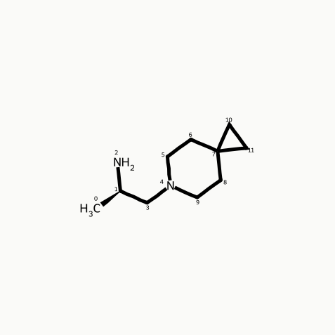 C[C@@H](N)CN1CCC2(CC1)CC2